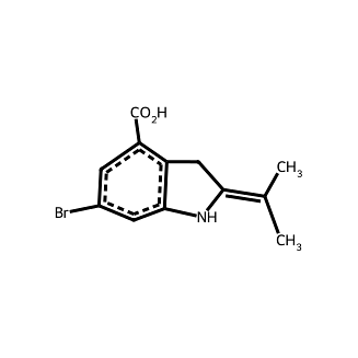 CC(C)=C1Cc2c(cc(Br)cc2C(=O)O)N1